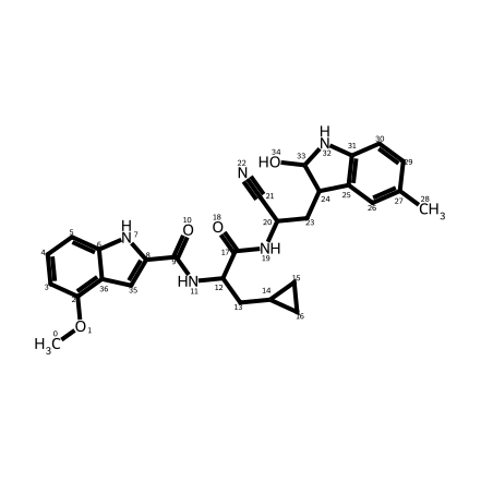 COc1cccc2[nH]c(C(=O)NC(CC3CC3)C(=O)NC(C#N)CC3c4cc(C)ccc4NC3O)cc12